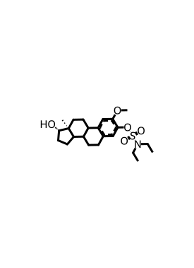 CCN(CC)S(=O)(=O)Oc1cc2c(cc1OC)C1CC[C@@]3(C)C(CC[C@@H]3O)C1CC2